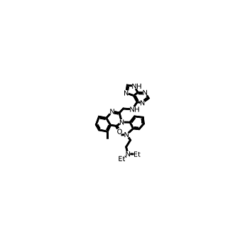 CCN(CC)CCN(C)c1ccccc1-n1c(CNc2ncnc3[nH]cnc23)nc2cccc(C)c2c1=O